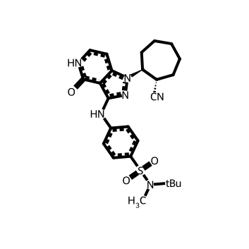 CN(C(C)(C)C)S(=O)(=O)c1ccc(Nc2nn([C@H]3CCCCC[C@@H]3C#N)c3cc[nH]c(=O)c23)cc1